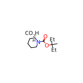 CCC(C)(CC)OC(=O)N1CCCC[C@@H]1C(=O)O